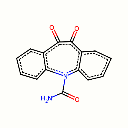 NC(=O)n1c2ccccc2c(=O)c(=O)c2ccccc21